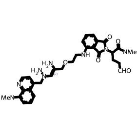 CNC(=O)C(CCC=O)N1C(=O)c2cccc(NCCOC/C(N)=C/N(N)Cc3ccnc4c(NC)cccc34)c2C1=O